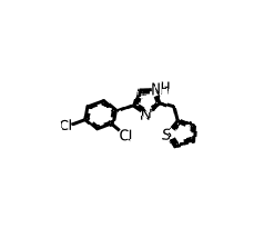 Clc1ccc(-c2c[nH]c(Cc3cccs3)n2)c(Cl)c1